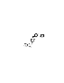 CC(C)CC1(C)NC(=N)N(CC2CCN(C(=O)c3ccc(Oc4ccccc4)cc3)CC2)C1=O